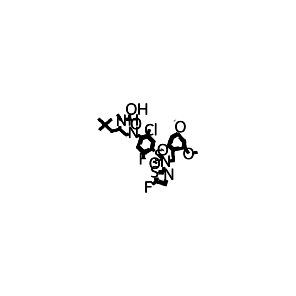 COc1ccc(CN(c2ncc(F)s2)S(=O)(=O)c2cc(Cl)c(NCC(CC(C)(C)C)N(C)C(=O)O)cc2F)c(OC)c1